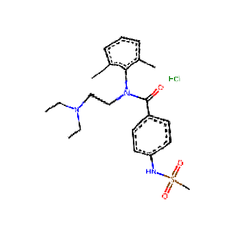 CCN(CC)CCN(C(=O)c1ccc(NS(C)(=O)=O)cc1)c1c(C)cccc1C.Cl